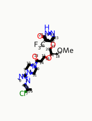 C=N/C(=N\C=C(/C)Cl)N1CCN(C(=O)CCO[C@H](COC)COc2cn[nH]c(=O)c2C(F)(F)F)CC1